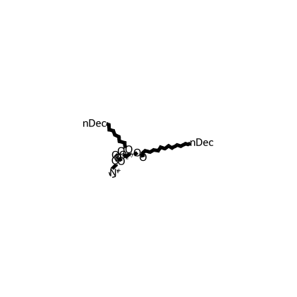 CCCCCCCCCCCCCCCCCCCCCCC(=O)OC[C@H](COP(=O)([O-])OCC[N+](C)(C)C)OC(=O)CCCCCCCCCCCCCCCCC